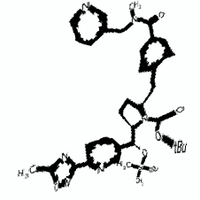 Cc1nc(-c2ccc([C@@H](O[Si](C)(C)C(C)(C)C)[C@H]3CC[C@@H](Cc4ccc(C(=O)N(C)Cc5cccnc5)cc4)N3C(=O)OC(C)(C)C)cn2)no1